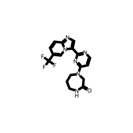 O=C1CN(c2ccnc(-c3cnc4ccc(C(F)(F)F)cn34)n2)CCCN1